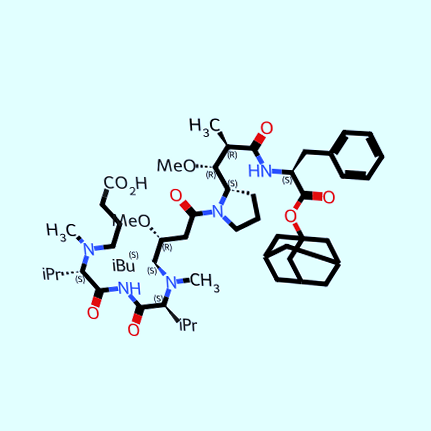 CC[C@H](C)[C@@H]([C@@H](CC(=O)N1CCC[C@H]1[C@H](OC)[C@@H](C)C(=O)N[C@@H](Cc1ccccc1)C(=O)OC12CC3CC(CC(C3)C1)C2)OC)N(C)[C@H](C(=O)NC(=O)[C@H](C(C)C)N(C)CCCC(=O)O)C(C)C